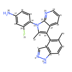 Cc1ccc2[nH]ncc2c1-c1c(C)n(-c2ccc(N)cc2F)c2ncccc12